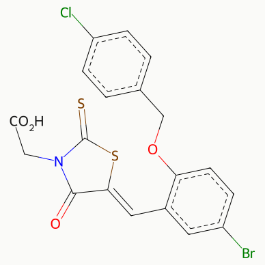 O=C(O)CN1C(=O)C(=Cc2cc(Br)ccc2OCc2ccc(Cl)cc2)SC1=S